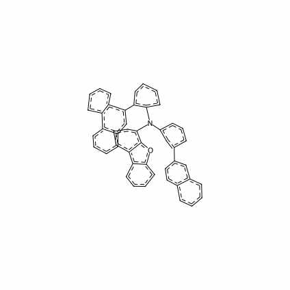 c1cc(-c2ccc3ccccc3c2)cc(N(c2ccccc2-c2cc3ccccc3c3ccccc23)c2cccc3c2oc2ccccc23)c1